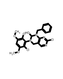 COc1cc(OC)c(Cl)c(N2Cc3cnc(Cl)nc3N(Cc3ccccc3)C2O)c1Cl